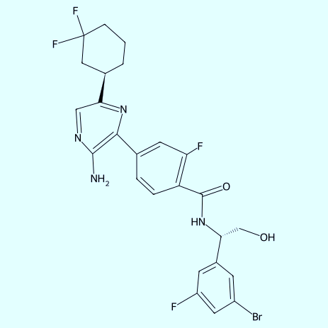 Nc1ncc([C@@H]2CCCC(F)(F)C2)nc1-c1ccc(C(=O)N[C@H](CO)c2cc(F)cc(Br)c2)c(F)c1